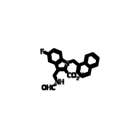 O=CNCc1c(C(=O)O)n(Cc2cccc3ccccc23)c2ccc(F)cc12